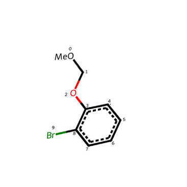 COCOc1[c]cccc1Br